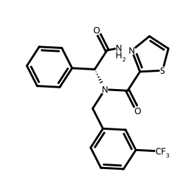 NC(=O)[C@@H](c1ccccc1)N(Cc1cccc(C(F)(F)F)c1)C(=O)c1nccs1